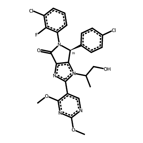 COc1ncc(-c2nc3c(n2C(C)CO)[C@H](c2ccc(Cl)cc2)N(c2cccc(Cl)c2F)C3=O)c(OC)n1